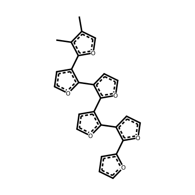 Cc1coc(-c2ccoc2-c2ccoc2-c2ccoc2-c2ccoc2-c2ccco2)c1C